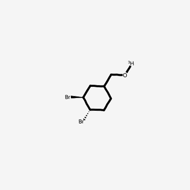 [3H]OCC1CC[C@H](Br)[C@@H](Br)C1